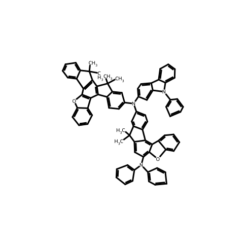 CC1(C)c2cc(N(c3ccc4c(c3)C(C)(C)c3c5c(c6oc7ccccc7c6c3-4)-c3ccccc3C5(C)C)c3ccc4c5ccccc5n(-c5ccccc5)c4c3)ccc2-c2c1cc(N(c1ccccc1)c1ccccc1)c1oc3ccccc3c21